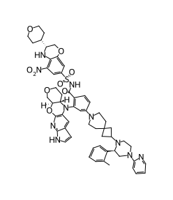 Cc1ccccc1[C@@H]1CN(c2ccccn2)CCN1C1CC2(CCN(c3ccc(C(=O)NS(=O)(=O)c4cc5c(c([N+](=O)[O-])c4)N[C@H](C4CCOCC4)CO5)c(N4c5cc6cc[nH]c6nc5O[C@H]5COCC[C@@H]54)c3)CC2)C1